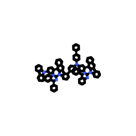 c1ccc(-c2ccc(-n3c4ccc(-c5cccc6c5c5cc7ccccc7c(-c7ccc(-n8c9ccccc9c9ccccc98)cc7)c5n6-c5nc(-c6ccccc6)c6ccccc6n5)cc4c4ccc(-c5c6ccccc6cc6c7ccccc7n(-c7nc(-c8ccccc8)c8ccccc8n7)c56)cc43)cc2)cc1